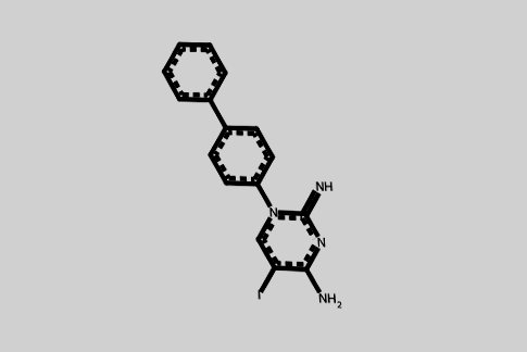 N=c1nc(N)c(I)cn1-c1ccc(-c2ccccc2)cc1